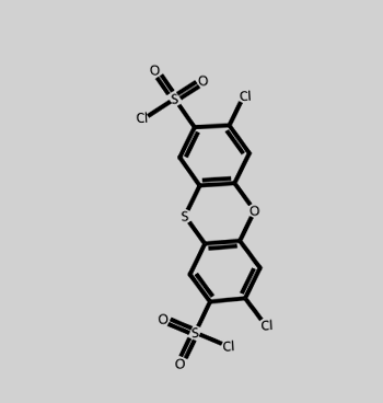 O=S(=O)(Cl)c1cc2c(cc1Cl)Oc1cc(Cl)c(S(=O)(=O)Cl)cc1S2